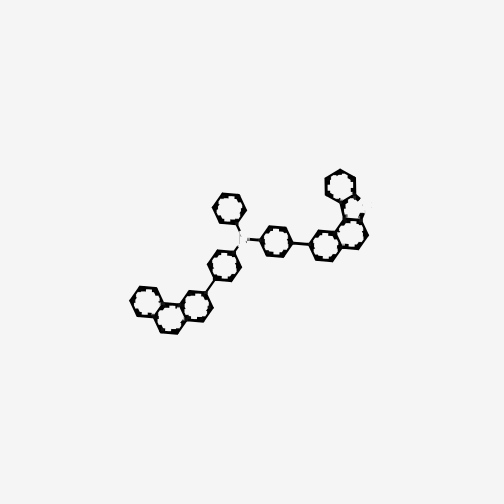 c1ccc(N(c2ccc(-c3ccc4ccc5ccccc5c4c3)cc2)c2ccc(-c3ccc4ccc5oc6ccccc6c5c4c3)cc2)cc1